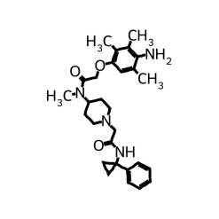 Cc1cc(OCC(=O)N(C)C2CCN(CC(=O)NC3(c4ccccc4)CC3)CC2)c(C)c(C)c1N